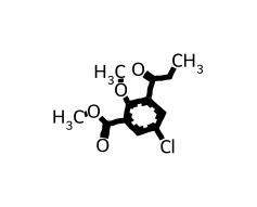 CCC(=O)c1cc(Cl)cc(C(=O)OC)c1OC